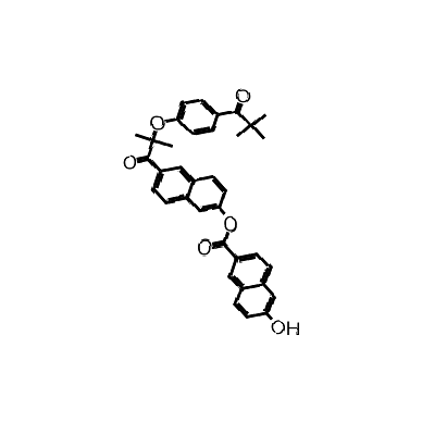 CC(C)(C)C(=O)c1ccc(OC(C)(C)C(=O)c2ccc3cc(OC(=O)c4ccc5cc(O)ccc5c4)ccc3c2)cc1